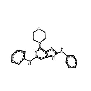 c1ccc(Nc2nc(N3CCOCC3)c3nc(Nc4ccccc4)[nH]c3n2)cc1